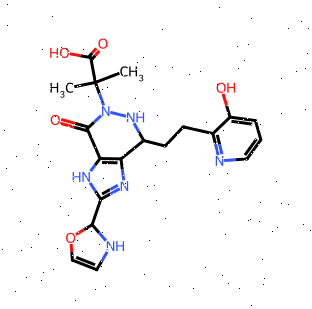 CC(C)(C(=O)O)N1NC(CCc2ncccc2O)c2nc(C3NC=CO3)[nH]c2C1=O